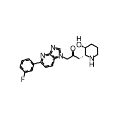 O=C(C[C@H]1NCCC[C@@H]1O)Cn1cnc2nc(-c3cccc(F)c3)ccc21